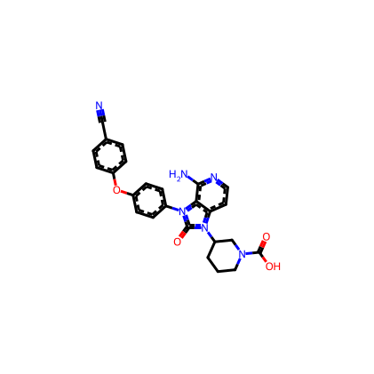 N#Cc1ccc(Oc2ccc(-n3c(=O)n(C4CCCN(C(=O)O)C4)c4ccnc(N)c43)cc2)cc1